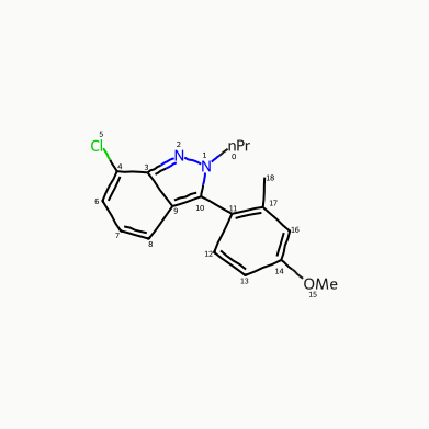 CCCn1nc2c(Cl)cccc2c1-c1ccc(OC)cc1C